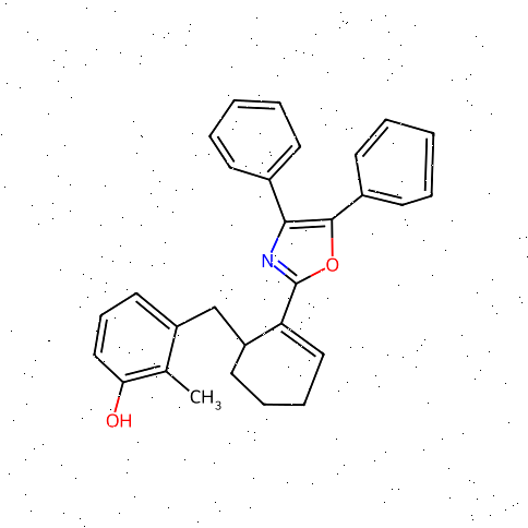 Cc1c(O)cccc1CC1CCCC=C1c1nc(-c2ccccc2)c(-c2ccccc2)o1